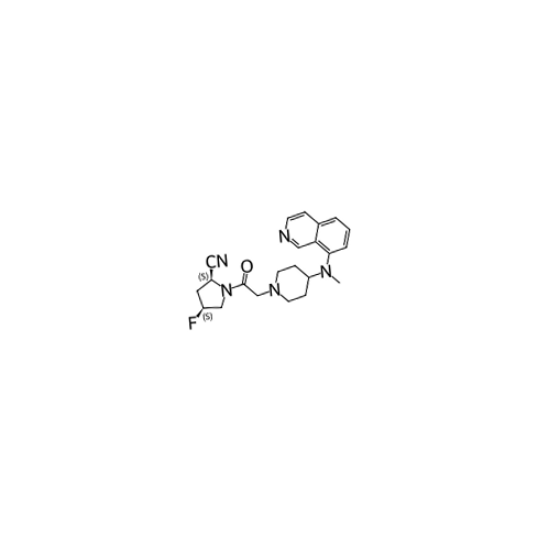 CN(c1cccc2ccncc12)C1CCN(CC(=O)N2C[C@@H](F)C[C@H]2C#N)CC1